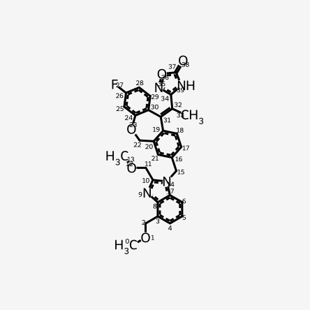 COCc1cccc2c1nc(COC)n2Cc1ccc2c(c1)COc1cc(F)ccc1/C2=C(/C)c1noc(=O)[nH]1